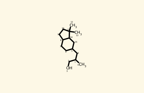 CC(CO)CC1CCC2CCC(C)(C)C2C1